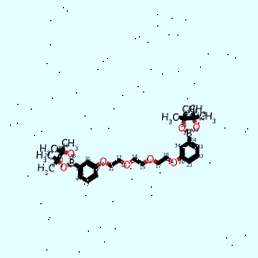 CC1(C)OB(c2cccc(OCCOCCOCCOc3cccc(B4OC(C)(C)C(C)(C)O4)c3)c2)OC1(C)C